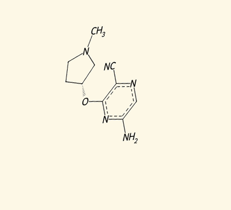 CN1CC[C@@H](Oc2nc(N)cnc2C#N)C1